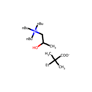 CCC(C)(C)C(=O)[O-].CCCC[N+](CCCC)(CCCC)CC(C)O